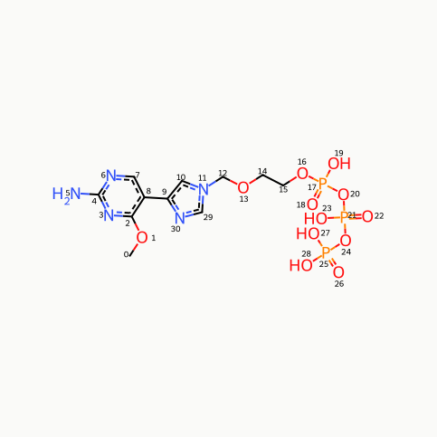 COc1nc(N)ncc1-c1cn(COCCOP(=O)(O)OP(=O)(O)OP(=O)(O)O)cn1